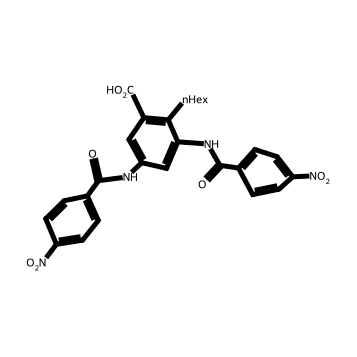 CCCCCCc1c(NC(=O)c2ccc([N+](=O)[O-])cc2)cc(NC(=O)c2ccc([N+](=O)[O-])cc2)cc1C(=O)O